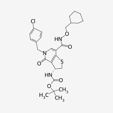 CC(C)(C)OC(=O)N[C@H]1CSc2c(C(=O)NOCC3CCCCC3)cn(Cc3ccc(Cl)cc3)c(=O)c21